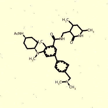 CC(=O)N[C@H]1CC[C@@H](N(C)c2cc(-c3ccc(CN(C)C)cc3)cc(C(=O)NCC3C(=O)NC(C)CC3C)c2C)CC1